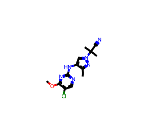 COc1nc(Nc2cn(C(C)(C)C#N)nc2C)ncc1Cl